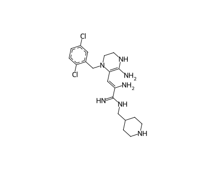 N=C(NCC1CCNCC1)/C(N)=C/C1=C(N)NCCN1Cc1cc(Cl)ccc1Cl